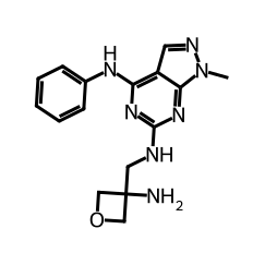 Cn1ncc2c(Nc3ccccc3)nc(NCC3(N)COC3)nc21